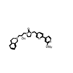 COc1cc(-c2ccc(CN3CCN(C[C@H](O)CN4CCc5ccccc5C4)C3=O)cn2)ccn1